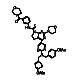 COc1ccc(CN(Cc2ccc(OC)cc2)c2ncc(-c3nc(N4CCOCC4)nc4c3CCN4C(=S)Nc3cccc(C(=O)N4CCOCC4)c3)cn2)cc1